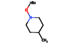 CCCCON1CCC(C)CC1